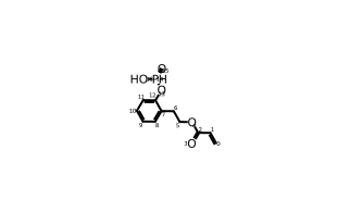 C=CC(=O)OCCc1ccccc1O[PH](=O)O